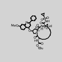 COc1ccc2c(OC3C[C@H]4C(=O)N[C@]5(C(=O)NS(=O)(=O)C6CC6)C[C@H]5CCCCCC[C@H](NC(=O)OC(C)(C)C)C(=O)N4C3)cc(-c3ccccc3)nc2c1